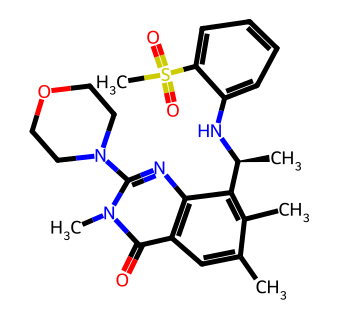 Cc1cc2c(=O)n(C)c(N3CCOCC3)nc2c([C@H](C)Nc2ccccc2S(C)(=O)=O)c1C